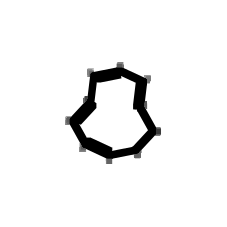 [CH]1\C=C/C=C/C=C\C=C\C1